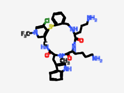 CN1C(=O)C(CCCCN)NC(=O)C(CCCN)NCc2ccccc2SC2=C(CNC(=O)C1Cc1c[nH]c3ccccc13)CN(C(F)(F)F)C=C2Cl